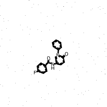 O=C(Nc1ccc(=O)n(-c2ccccc2)c1)c1ccc(F)cc1